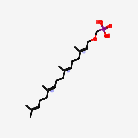 CC(C)=CCC/C(C)=C/CC/C(C)=C/CC/C(C)=C/COCP(=O)(O)O